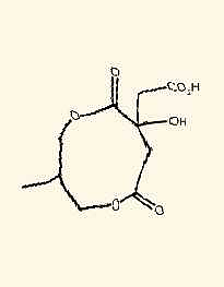 CC1COC(=O)CC(O)(CC(=O)O)C(=O)OC1